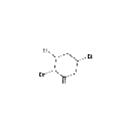 CCC1CNC(CC)C(CC)C1